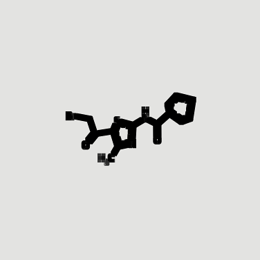 Cc1nc(NC(=O)c2ccccc2)sc1C(=O)CBr